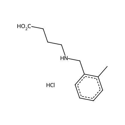 Cc1ccccc1CNCCCC(=O)O.Cl